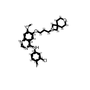 COc1cc2ncnc(Nc3ccc(F)c(Cl)c3)c2cc1OCCCN1CC2(CCOCC2)C1